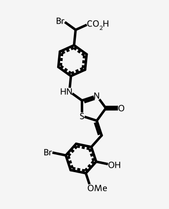 COc1cc(Br)cc(/C=C2\SC(Nc3ccc(C(Br)C(=O)O)cc3)=NC2=O)c1O